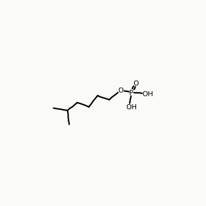 CC(C)CCCCOP(=O)(O)O